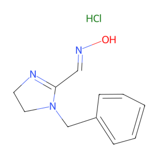 Cl.ON=CC1=NCCN1Cc1ccccc1